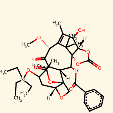 CC[Si](CC)(CC)OC1C[C@H]2OC[C@@]2(OC(C)=O)[C@H]2[C@H](OC(=O)c3ccccc3)[C@]34OC(=O)O[C@H]3[C@H](O)C(C)=C([C@@H](OC)C(=O)[C@]12C)C4(C)C